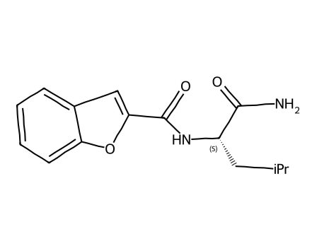 CC(C)C[C@H](NC(=O)c1cc2ccccc2o1)C(N)=O